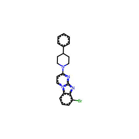 Brc1cccc2c1nc1nc(N3CCC(c4ccccc4)CC3)ccn12